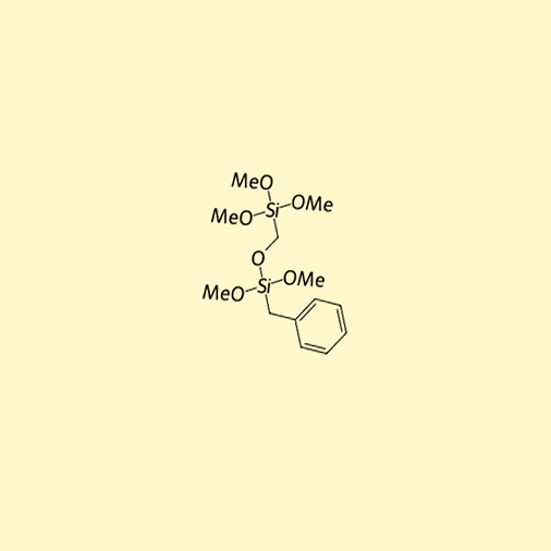 CO[Si](CO[Si](Cc1ccccc1)(OC)OC)(OC)OC